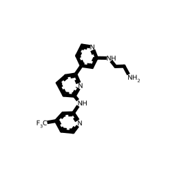 NCCNc1cc(-c2cccc(Nc3cc(C(F)(F)F)ccn3)n2)ccn1